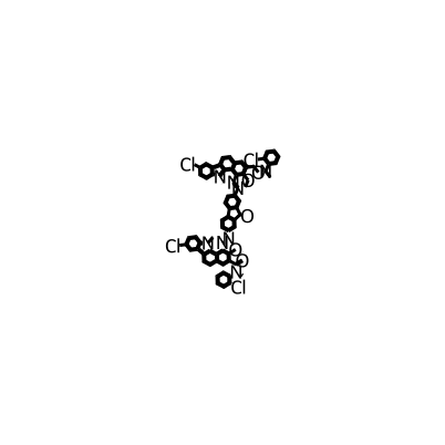 COc1c(CON(C)c2ccccc2Cl)cc2ccc3c4cc(Cl)ccc4n(C)c3c2c1N=Nc1ccc2c(c1)C(=O)c1cc(N=Nc3c(OC)c(C(=O)N(C)c4ccccc4Cl)cc4ccc5c6cc(Cl)ccc6n(C)c5c34)ccc1-2